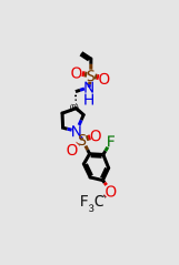 C=CS(=O)(=O)NC[C@H]1CCN(S(=O)(=O)c2ccc(OC(F)(F)F)cc2F)C1